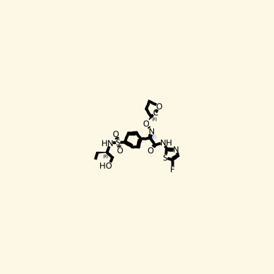 CC[C@H](CO)NS(=O)(=O)c1ccc(/C(=N\O[C@@H]2CCOC2)C(=O)Nc2ncc(F)s2)cc1